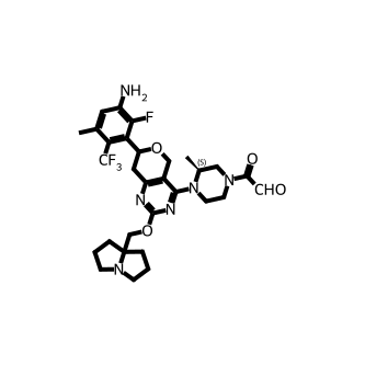 Cc1cc(N)c(F)c(C2Cc3nc(OCC45CCCN4CCC5)nc(N4CCN(C(=O)C=O)C[C@@H]4C)c3CO2)c1C(F)(F)F